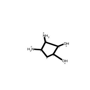 NC1CC(O)C(O)C1N